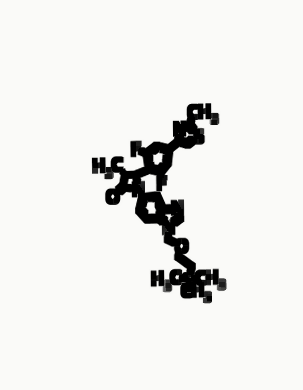 Cc1nc(-c2cc(F)c(C3[C@@H](C)C(=O)N3c3ccc4c(c3)ncn4COCC[Si](C)(C)C)c(F)c2)cs1